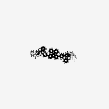 CC1(C)N=C(c2ccc(-c3ccc4c(c3)C(c3ccccc3)(c3ccccc3)c3cc(-c5ccc(C6=NC(C)(C)C(C)(C)N6c6ccccc6)nc5)ccc3-4)cn2)N(c2ccccc2)C1(C)C